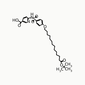 CC(C)(C)OC(=O)CCCCCCCCCCCCCOc1ccc(S(=O)(=O)Nc2ccc(C(=O)O)cn2)cc1